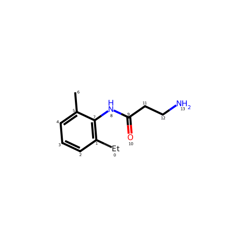 CCc1cccc(C)c1NC(=O)CCN